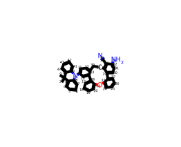 CC1(C)c2ccccc2N(c2ccc3c(c2)-c2ccccc2Oc2ccccc2-c2ccc(N)c(C#N)c2CC3)c2ccccc21